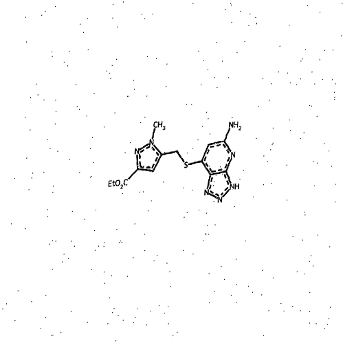 CCOC(=O)c1cc(CSc2cc(N)nc3[nH]nnc23)n(C)n1